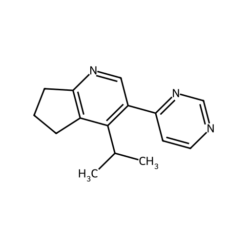 CC(C)c1c(-c2ccncn2)cnc2c1CCC2